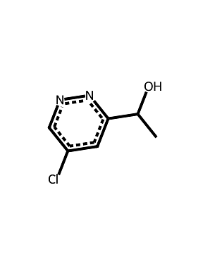 CC(O)c1cc(Cl)cnn1